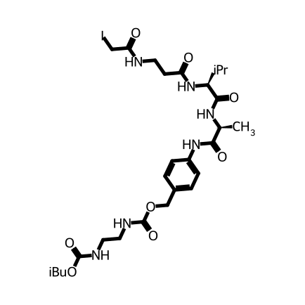 CC(C)COC(=O)NCCNC(=O)OCc1ccc(NC(=O)[C@H](C)NC(=O)[C@@H](NC(=O)CCNC(=O)CI)C(C)C)cc1